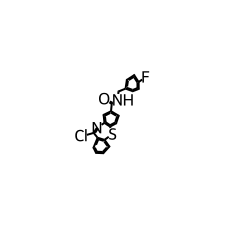 O=C(NCc1ccc(F)cc1)c1ccc2c(c1)N=C(Cl)c1ccccc1S2